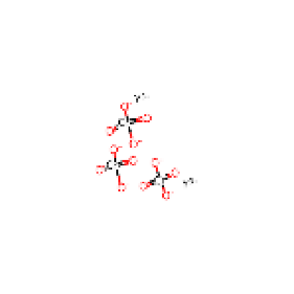 [O]=[Cr](=[O])([O-])[O-].[O]=[Cr](=[O])([O-])[O-].[O]=[Cr](=[O])([O-])[O-].[Y+3].[Y+3]